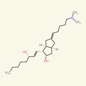 CCCCC[C@H](O)/C=C/[C@@H]1[C@H]2C/C(=C/CCCCN(C)C)C[C@H]2C[C@H]1O